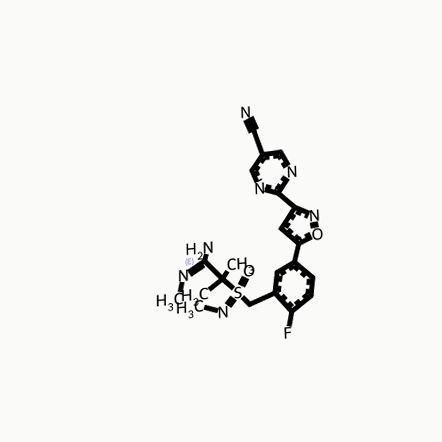 CN=S(=O)(Cc1cc(-c2cc(-c3ncc(C#N)cn3)no2)ccc1F)C(C)(C)/C(N)=N\C